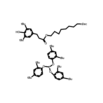 CC(C)(C)c1ccc(OP(Oc2ccc(C(C)(C)C)cc2C(C)(C)C)Oc2ccc(C(C)(C)C)cc2C(C)(C)C)c(C(C)(C)C)c1.CCCCCCCCCCCCCCCCCCOC(=O)CCc1cc(C(C)(C)C)c(O)c(C(C)(C)C)c1